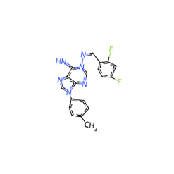 Cc1ccc(-n2cnc3c(=N)n(/N=C\c4ccc(F)cc4F)cnc32)cc1